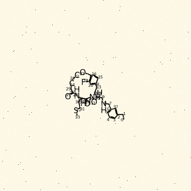 CCc1cccc(CNC[C@@H](O)[C@@H]2Cc3ccc(c(F)c3)OCCCCC(=O)N[C@@H](CCSC)C(=O)N2)c1